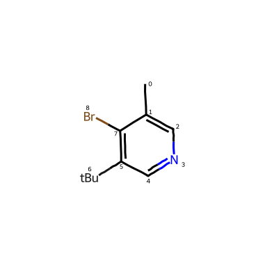 Cc1cncc(C(C)(C)C)c1Br